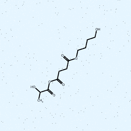 CC(O)C(=O)OC(=O)CCC(=O)OCCCCO